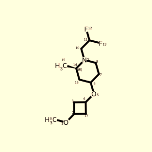 COC1CC(OC2CCN(CC(F)F)[C@H](C)C2)C1